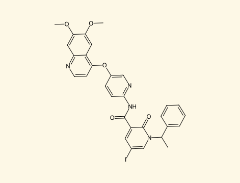 COc1cc2nccc(Oc3ccc(NC(=O)c4cc(I)cn(C(C)c5ccccc5)c4=O)nc3)c2cc1OC